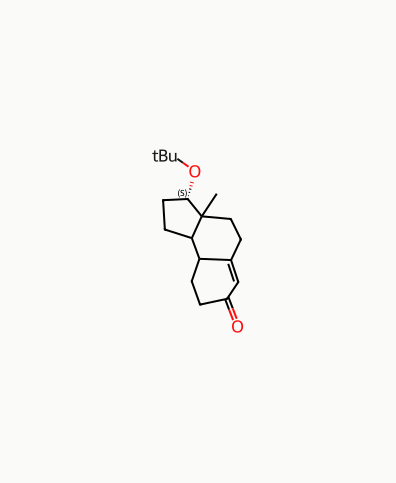 CC(C)(C)O[C@H]1CCC2C3CCC(=O)C=C3CCC21C